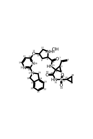 C=CC1CC1(NC(=O)C1CC(Oc2ccnc(N3Cc4ccccc4C3)n2)CN1)C(=O)NS(=O)(=O)C1CC1.Cl